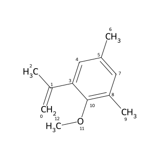 C=C(C)c1cc(C)cc(C)c1OC